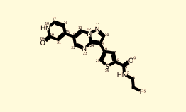 O=C(NCCF)c1cc(-c2cnn3cc(-c4cc[nH]c(=O)c4)cnc23)cs1